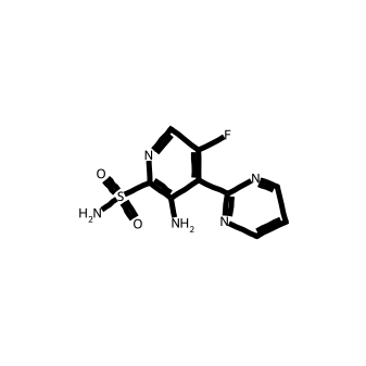 Nc1c(S(N)(=O)=O)ncc(F)c1-c1ncccn1